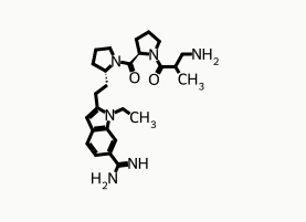 CCn1c(CC[C@@H]2CCCN2C(=O)[C@H]2CCCN2C(=O)C(C)CN)cc2ccc(C(=N)N)cc21